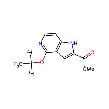 [2H]C([2H])(Oc1nccc2[nH]c(C(=O)OC)cc12)C(F)(F)F